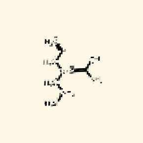 C=C[SiH2]O[SiH2][SiH2][SiH3].NC(O)=S